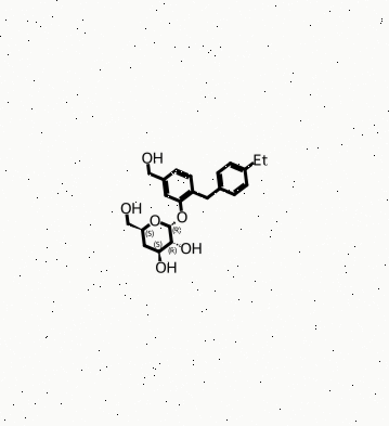 CCc1ccc(Cc2ccc(CO)cc2O[C@H]2O[C@H](CO)C[C@H](O)[C@H]2O)cc1